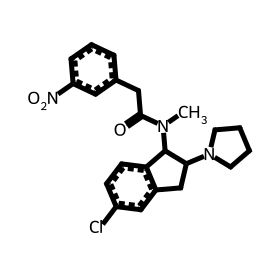 CN(C(=O)Cc1cccc([N+](=O)[O-])c1)C1c2ccc(Cl)cc2CC1N1CCCC1